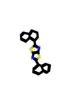 C1=c2ccccc2=C(c2nc3sc(-c4cccc5ccccc45)nc3s2)CC1